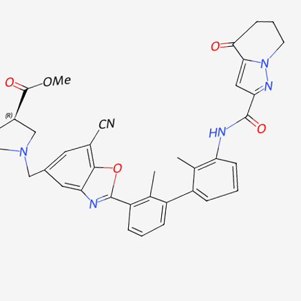 COC(=O)[C@@H]1CCN(Cc2cc(C#N)c3oc(-c4cccc(-c5cccc(NC(=O)c6cc7n(n6)CCCC7=O)c5C)c4C)nc3c2)C1